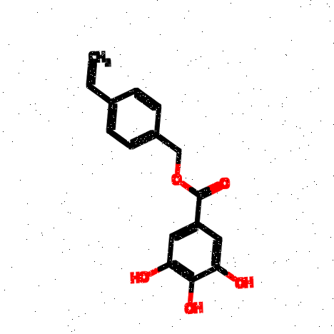 C=Cc1ccc(COC(=O)c2cc(O)c(O)c(O)c2)cc1